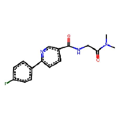 CN(C)C(=O)CNC(=O)c1ccc(-c2ccc(F)cc2)nc1